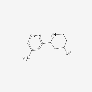 Nc1ccnc(C2CC(O)CCN2)c1